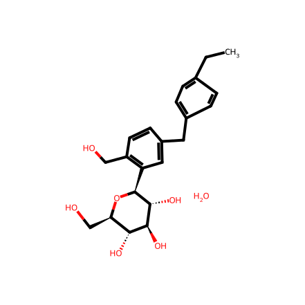 CCc1ccc(Cc2ccc(CO)c([C@@H]3O[C@H](CO)[C@@H](O)[C@H](O)[C@H]3O)c2)cc1.O